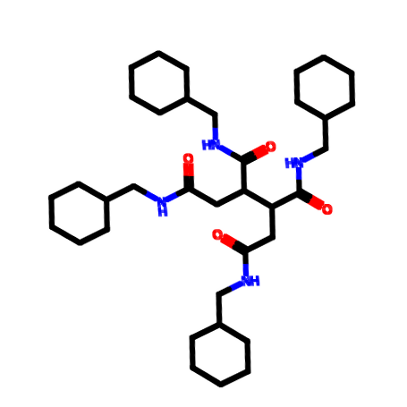 O=C(CC(C(=O)NCC1CCCCC1)C(CC(=O)NCC1CCCCC1)C(=O)NCC1CCCCC1)NCC1CCCCC1